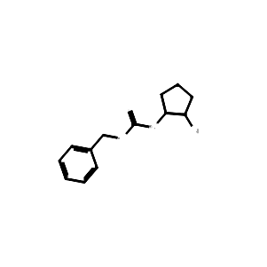 NC1CCCC1NC(=O)OCc1ccccc1